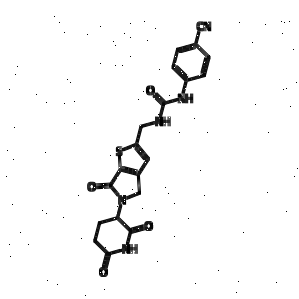 N#Cc1ccc(NC(=O)NCc2cc3c(s2)C(=O)N(C2CCC(=O)NC2=O)C3)cc1